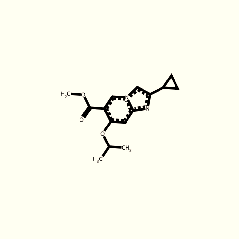 COC(=O)c1cn2cc(C3CC3)nc2cc1OC(C)C